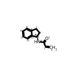 C=CC(=O)N[C@@H]1CCc2ccccc21